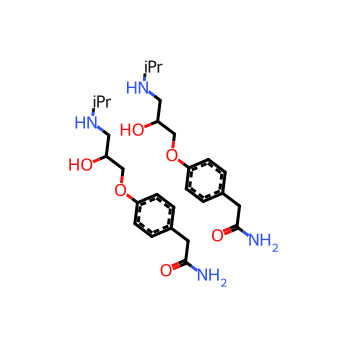 CC(C)NCC(O)COc1ccc(CC(N)=O)cc1.CC(C)NCC(O)COc1ccc(CC(N)=O)cc1